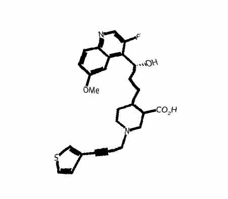 COc1ccc2ncc(F)c([C@H](O)CCC3CCN(CC#Cc4ccsc4)CC3C(=O)O)c2c1